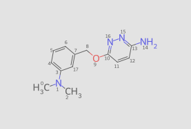 CN(C)c1cccc(COc2ccc(N)nn2)c1